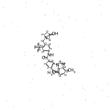 Cc1ccc(C(=O)Nc2ccc(CN3CC[C@@H](O)C3)c(C(F)(F)F)c2)cc1-n1cnc2c(C)ccc(C)c21